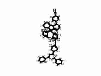 N#Cc1ccc(-c2cccc3c2-c2ccccc2C32c3ccccc3Sc3c(-c4ccc(-c5cc(-c6ccccc6)nc(-c6ccccc6)n5)cc4)cccc32)cc1